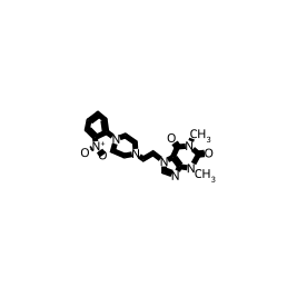 Cn1c(=O)c2c(ncn2CCN2CCN(c3ccccc3[N+](=O)[O-])CC2)n(C)c1=O